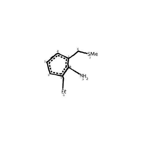 CCc1cccc(CSC)c1N